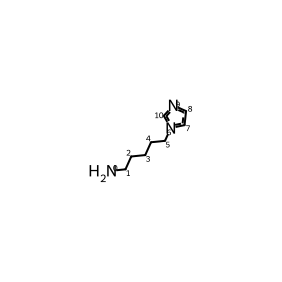 NCCCCCn1ccnc1